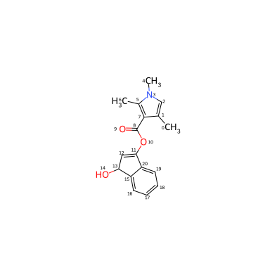 Cc1cn(C)c(C)c1C(=O)OC1=CC(O)c2ccccc21